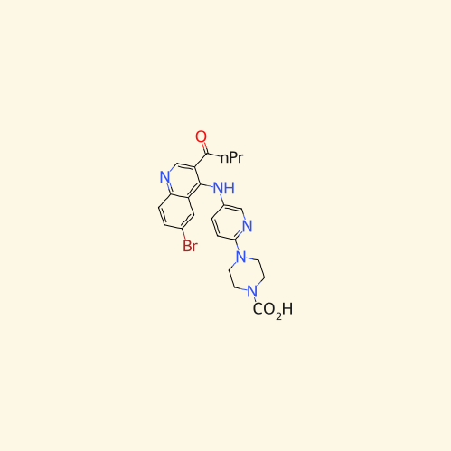 CCCC(=O)c1cnc2ccc(Br)cc2c1Nc1ccc(N2CCN(C(=O)O)CC2)nc1